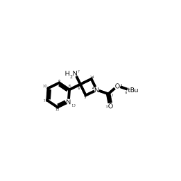 CC(C)(C)OC(=O)N1CC(N)(c2ccccn2)C1